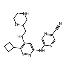 N#Cc1cnc(Nc2cc(NCC3CNCCO3)c(C3CCC3)nn2)cn1